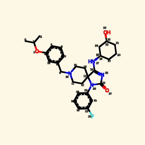 CC(C)Oc1cccc(CN2CCC3(CC2)C(N[C@@H]2CCC[C@H](O)C2)=NC(=O)N3c2cccc(F)c2)c1